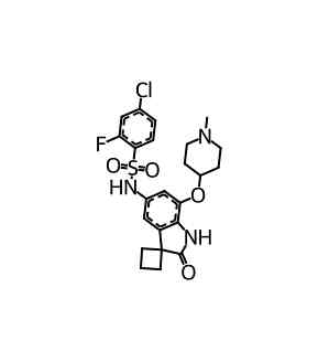 CN1CCC(Oc2cc(NS(=O)(=O)c3ccc(Cl)cc3F)cc3c2NC(=O)C32CCC2)CC1